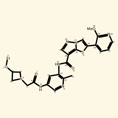 CCOC1CN(CC(=O)Nc2cnc(C)c(NC(=O)c3cnn4cc(-c5cccnc5OC)sc34)c2)C1